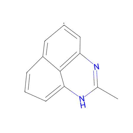 CC1=Nc2c[c]cc3cccc(c23)N1